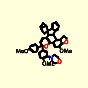 COc1ccc(C2(c3ccc(OC)c(N4CCOCC4)c3)C=Cc3c4c(c5c6c(c(OC)cc5c3O2)OCC6)-c2ccccc2C42CC3CCC2C3)cc1